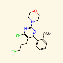 COc1ccccc1-c1nc(N2CCOCC2)nc(Cl)c1CCCCl